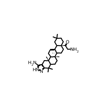 CC1(C)CC[C@]2(C(=O)CN)CC[C@]3(C)C(=CCC4[C@@]5(C)Cc6c(n[nH]c6N)C(C)(C)C5CC[C@]43C)C2C1